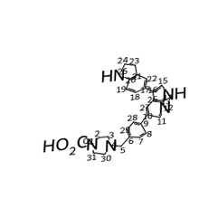 O=C(O)N1CCN(Cc2ccc(-c3cnc4[nH]cc(-c5ccc6c(c5)CCN6)c4c3)cc2)CC1